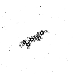 Cc1ccc(S(=O)(=O)ON(c2cscn2)S(=O)(=O)c2cc(Cl)c(Oc3ccc(Cl)cc3-c3cn[nH]c3N)cc2F)cc1